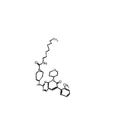 CCCCCCCCNC(=O)N1CCC(Nc2ncc3cc(-c4ccccc4C)c(=O)n(C4CCOCC4)c3n2)CC1